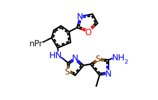 CCCc1ccc(-c2ncco2)cc1Nc1nc(-c2sc(N)nc2C)cs1